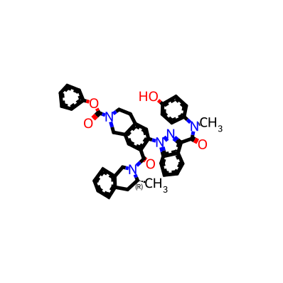 C[C@@H]1Cc2ccccc2CN1C(=O)c1cc2c(cc1-n1nc(C(=O)N(C)c3ccc(O)cc3)c3ccccc31)CCN(C(=O)Oc1ccccc1)C2